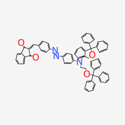 O=C1C(=Cc2ccc(N=Nc3ccc(N(CCOC(c4ccccc4)(c4ccccc4)c4ccccc4)CCOC(c4ccccc4)(c4ccccc4)c4ccccc4)cc3)cc2)C(=O)c2ccccc21